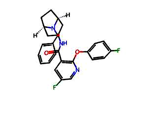 O=C(NC1C[C@H]2CC[C@@H](C1)N2Cc1ccccc1)c1cc(F)cnc1Oc1ccc(F)cc1